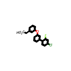 O=C(O)Cc1cccc(Oc2cccc(-c3ccc(Cl)cc3F)c2)c1